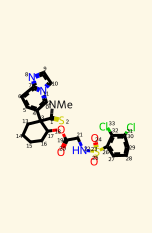 CNC(=S)C1(c2ccc3nccn3c2)CCCCC1OC(=O)CNS(=O)(=O)c1cccc(Cl)c1Cl